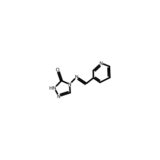 O=c1[nH]ncn1N=Cc1cccnc1